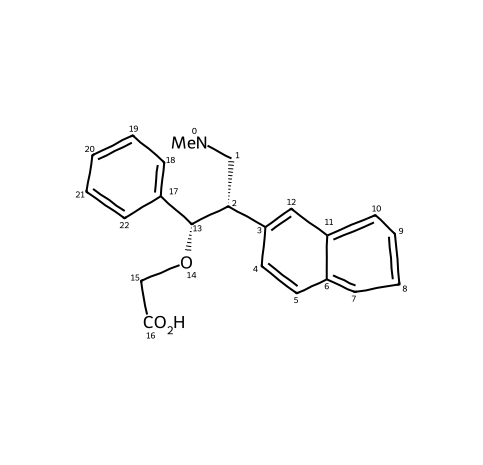 CNC[C@H](c1ccc2ccccc2c1)[C@H](OCC(=O)O)c1ccccc1